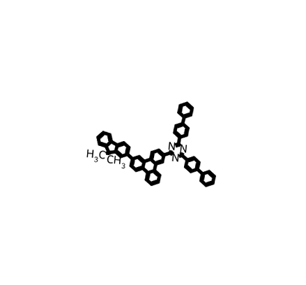 CC1(C)c2ccccc2-c2ccc(-c3ccc4c5ccccc5c5cc(-c6nc(-c7ccc(-c8ccccc8)cc7)nc(-c7ccc(-c8ccccc8)cc7)n6)ccc5c4c3)cc21